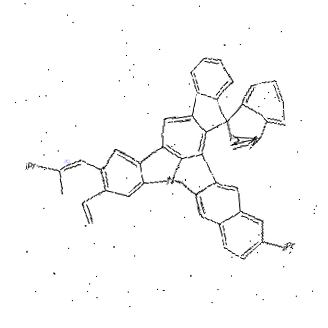 C=Cc1cc2c(cc1/C=C(\C)C(C)C)c1cc3c(c4c5cc6cc(C(C)C)ccc6cc5n2c14)C1(c2ccccc2-c2ccccc21)c1ccccc1-3